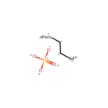 CCCCCC[CH2][Nd+3].O=P([O-])([O-])[O-]